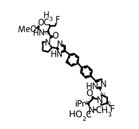 COC(=O)N[C@H](C(=O)N1CCCC1c1ncc(-c2ccc(-c3ccc(-c4cnc([C@@H]5C[C@@H](F)CN5C(=O)[C@H](C(C)C)N(C)C(=O)O)[nH]4)cc3)cc2)[nH]1)C(C)CF